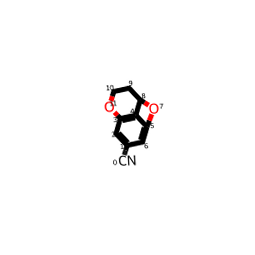 N#Cc1cc2c3c(c1)OC3CCO2